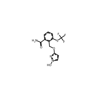 NC(=O)c1cccc(SC(F)(F)F)c1COc1ccn(O)n1